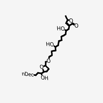 CCCCCCCCCCCCC(O)C1CCC(COCCCCC(O)CCCCCC(O)CC2=CC(C)OC2=O)O1